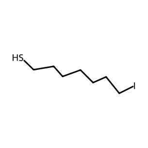 SCCCCCCCI